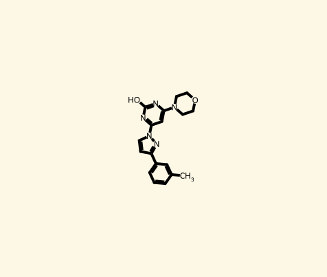 Cc1cccc(-c2ccn(-c3cc(N4CCOCC4)nc(O)n3)n2)c1